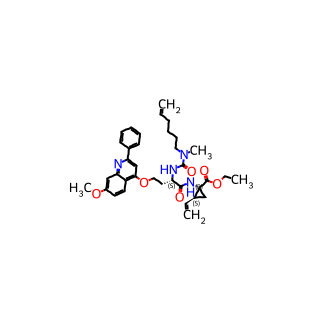 C=CCCCCN(C)C(=O)N[C@@H](CCOc1cc(-c2ccccc2)nc2cc(OC)ccc12)C(=O)N[C@]1(C(=O)OCC)C[C@H]1C=C